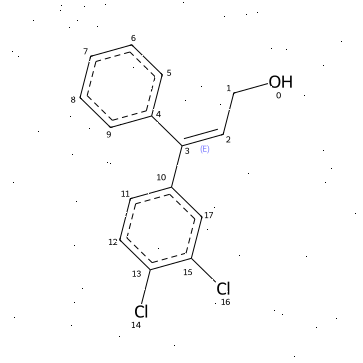 OC/C=C(\c1ccccc1)c1ccc(Cl)c(Cl)c1